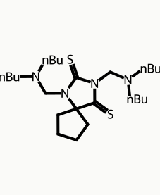 CCCCN(CCCC)CN1C(=S)N(CN(CCCC)CCCC)C2(CCCC2)C1=S